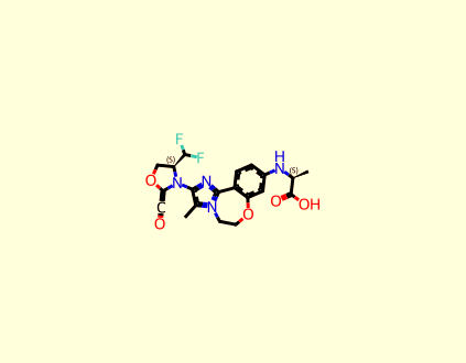 Cc1c(N2C(=C=O)OC[C@H]2C(F)F)nc2n1CCOc1cc(N[C@@H](C)C(=O)O)ccc1-2